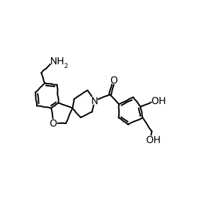 NCc1ccc2c(c1)C1(CCN(C(=O)c3ccc(CO)c(O)c3)CC1)CO2